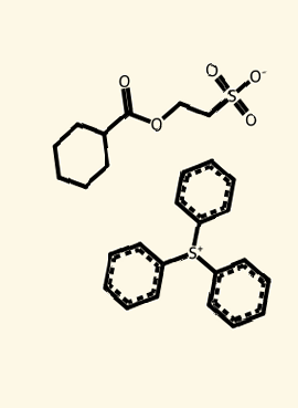 O=C(OCCS(=O)(=O)[O-])C1CCCCC1.c1ccc([S+](c2ccccc2)c2ccccc2)cc1